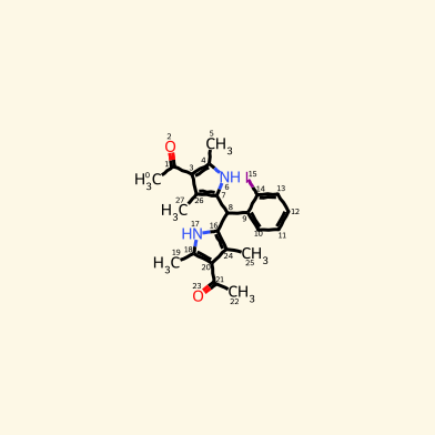 CC(=O)c1c(C)[nH]c(C(c2ccccc2I)c2[nH]c(C)c(C(C)=O)c2C)c1C